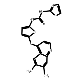 Cc1cc2nccc(Sc3ncc(NC(=O)Nc4nccs4)s3)c2cc1C